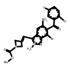 Cn1nc2c(Br)c(C(=O)c3cc(F)ccc3Cl)c([N+](=O)[O-])cc2c1C=C1CN(C(=O)OC(C)(C)C)C1